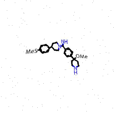 COC1(c2ccc(C(=N)N3CCC(c4ccc(SC)cc4)CC3)cc2)CCNCC1